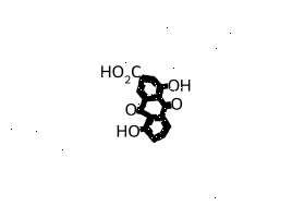 O=C(O)c1cc(O)c2c(c1)C(=O)c1c(O)cccc1C2=O